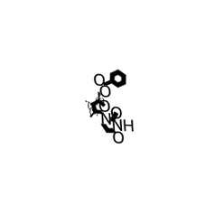 C[C@H]1[C@H](C)C(n2ccc(=O)[nH]c2=O)O[C@@H]1COC(=O)c1ccccc1